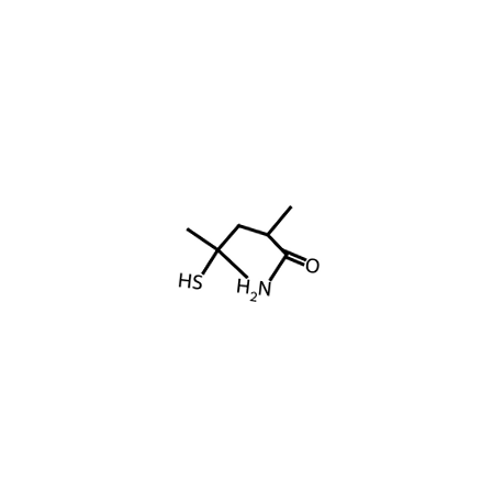 CC(CC(C)(C)S)C(N)=O